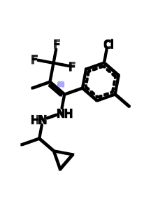 C/C(=C(\NNC(C)C1CC1)c1cc(C)cc(Cl)c1)C(F)(F)F